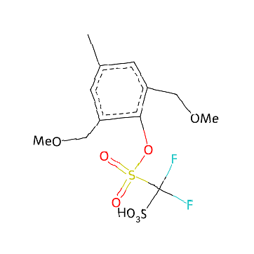 COCc1cc(C)cc(COC)c1OS(=O)(=O)C(F)(F)S(=O)(=O)O